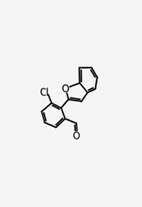 O=Cc1cccc(Cl)c1-c1cc2ccccc2o1